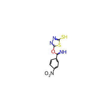 N=C(Oc1nnc(S)s1)c1ccc([N+](=O)[O-])cc1